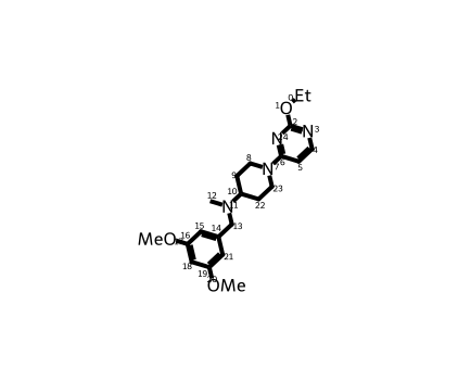 CCOc1nccc(N2CCC(N(C)Cc3cc(OC)cc(OC)c3)CC2)n1